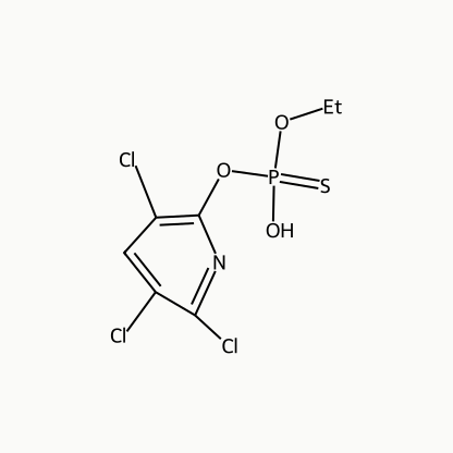 CCOP(O)(=S)Oc1nc(Cl)c(Cl)cc1Cl